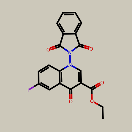 CCOC(=O)c1cn(N2C(=O)c3ccccc3C2=O)c2ccc(I)cc2c1=O